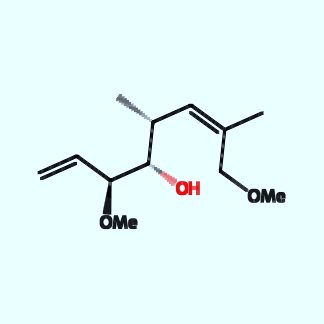 C=C[C@H](OC)[C@@H](O)[C@H](C)/C=C(/C)COC